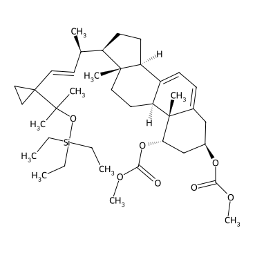 CC[Si](CC)(CC)OC(C)(C)C1(/C=C/[C@@H](C)[C@H]2CC[C@H]3C4=CC=C5C[C@@H](OC(=O)OC)C[C@H](OC(=O)OC)[C@]5(C)[C@H]4CC[C@]23C)CC1